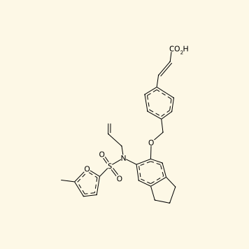 C=CCN(c1cc2c(cc1OCc1ccc(/C=C/C(=O)O)cc1)CCC2)S(=O)(=O)c1ccc(C)o1